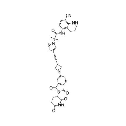 CC(C)(C(=O)Nc1ccc(C#N)c2c1CCCN2)n1cc(C#CC2CN(c3ccc4c(c3)C(=O)N(C3CCC(=O)NC3=O)C4=O)C2)cn1